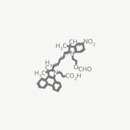 CC1(C)C(/C=C/C=C/C=C2\N(CCOC=O)c3ccc([N+](=O)[O-])cc3C2(C)C)=[N+](CCC(=O)O)c2c1c1ccccc1c1ccccc21